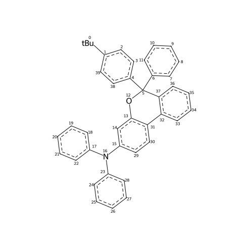 CC(C)(C)c1ccc(C2(c3ccccc3)Oc3cc(N(c4ccccc4)c4ccccc4)ccc3-c3ccccc32)cc1